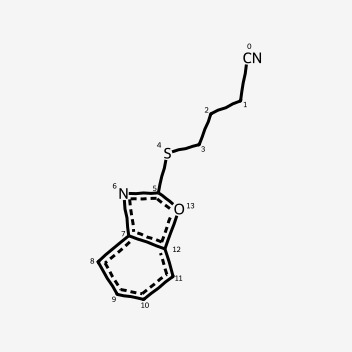 N#CCCCSc1nc2ccccc2o1